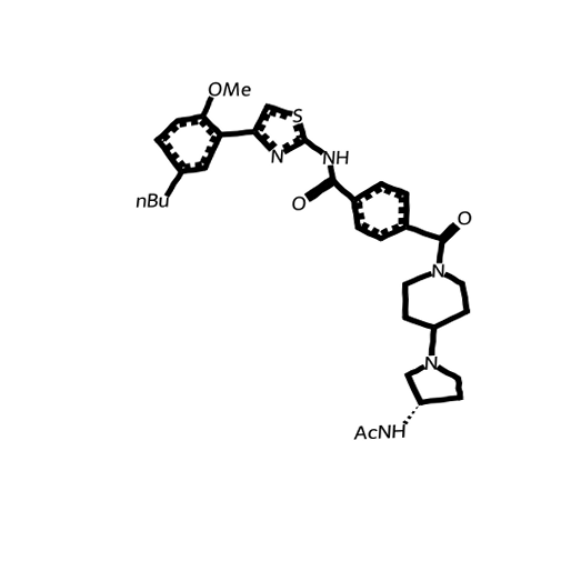 CCCCc1ccc(OC)c(-c2csc(NC(=O)c3ccc(C(=O)N4CCC(N5CC[C@H](NC(C)=O)C5)CC4)cc3)n2)c1